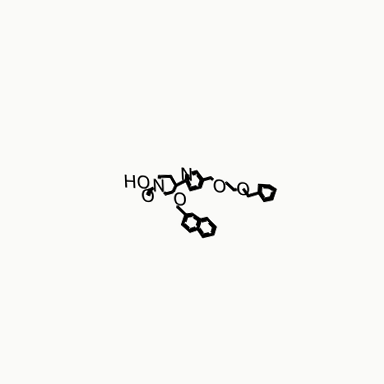 O=C(O)N1CCC(c2ccc(COCCOCc3ccccc3)cn2)C(OCc2ccc3ccccc3c2)C1